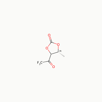 C[C@H]1OC(=O)OC1C(=O)C(F)(F)F